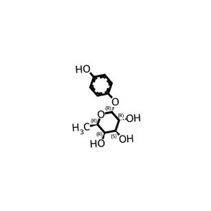 C[C@H]1O[C@H](Oc2ccc(O)cc2)[C@H](O)[C@@H](O)[C@H]1O